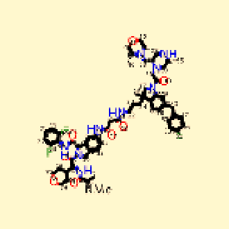 CN[C@@H](C)C(=O)NC(C(=O)N1Cc2ccc(NC(=O)CC(=O)NCCCC3(C)CN(C(=O)CN4C[C@@H](C)NC[C@@H]4CN4CCOC[C@H]4C)c4cc(Cc5ccc(F)cc5)ccc43)cc2[C@H]1C(=O)Nc1c(F)cccc1F)C1CCOCC1